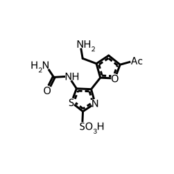 CC(=O)c1cc(CN)c(-c2nc(S(=O)(=O)O)sc2NC(N)=O)o1